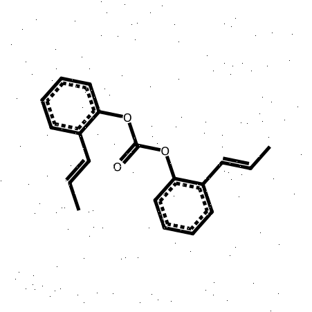 CC=Cc1ccccc1OC(=O)Oc1ccccc1C=CC